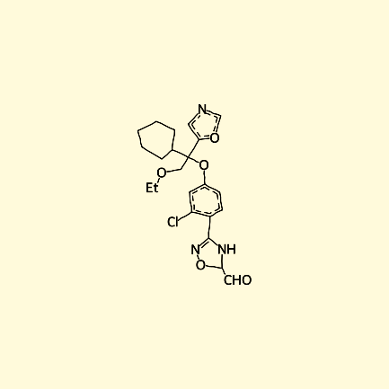 CCOCC(Oc1ccc(C2=NOC(C=O)N2)c(Cl)c1)(c1cnco1)C1CCCCC1